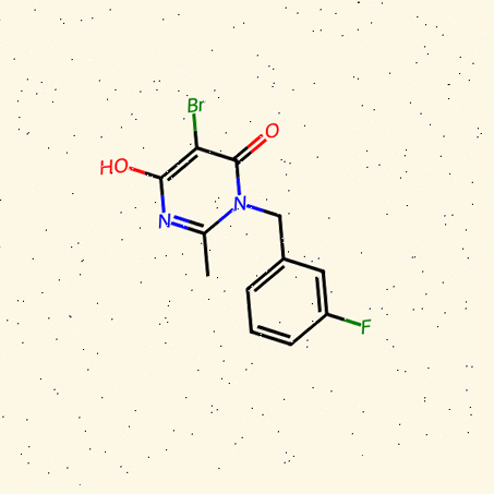 Cc1nc(O)c(Br)c(=O)n1Cc1cccc(F)c1